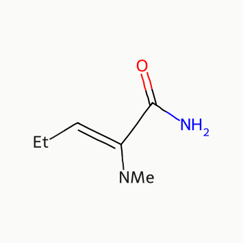 CC/C=C(\NC)C(N)=O